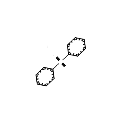 O=S(=O)(c1ccccc1)c1ccccc1.[H+].[S]